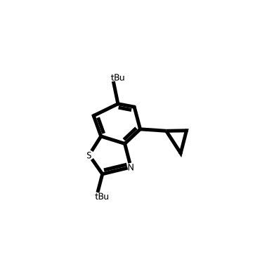 CC(C)(C)c1cc(C2CC2)c2nc(C(C)(C)C)sc2c1